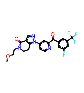 COCCN1CCc2c(cnn2-c2ccnc(C(=O)c3cc(F)cc(C(F)(F)F)c3)c2)C1=O